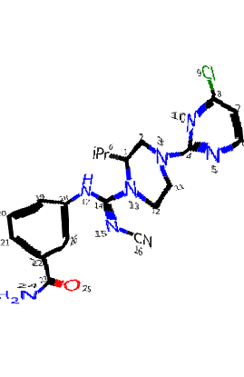 CC(C)C1CN(c2nccc(Cl)n2)CCN1/C(=N\C#N)Nc1cccc(C(N)=O)c1